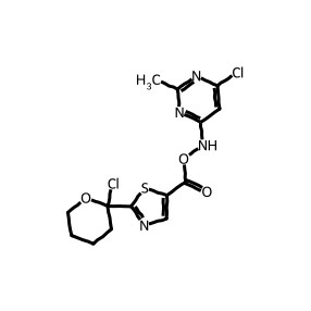 Cc1nc(Cl)cc(NOC(=O)c2cnc(C3(Cl)CCCCO3)s2)n1